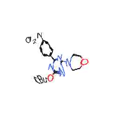 CC(C)(C)Oc1nc(-c2ccc([N+](=O)[O-])cc2)nc(N2CCOCC2)n1